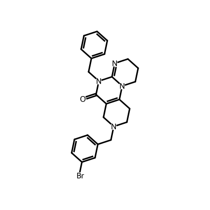 O=C1C2=C(CCN(Cc3cccc(Br)c3)C2)N2CCCN=C2N1Cc1ccccc1